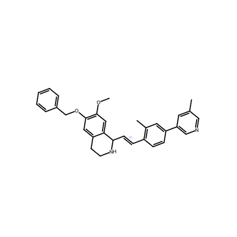 COc1cc2c(cc1OCc1ccccc1)CCNC2/C=C/c1ccc(-c2cncc(C)c2)cc1C